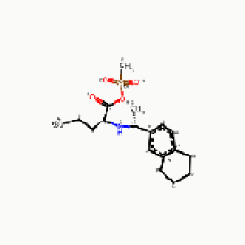 C[C@@H](N[C@@H](CCC(C)(C)C)C(=O)OS(C)(=O)=O)c1ccc2c(c1)CCCC2